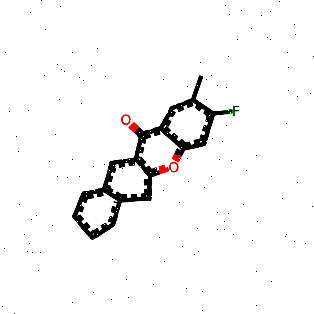 Cc1cc2c(=O)c3cc4ccccc4cc3oc2cc1F